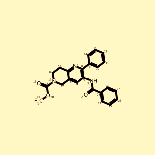 O=C(Nc1cc2c(nc1-c1ccccc1)CCN(C(=O)OC(F)(F)F)C2)c1ccccc1